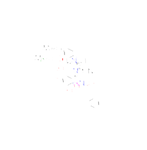 COCOc1c(OC)c(C)cc2c1[C@H]1C3Cc4c(OC(=O)CCCl)c(C)c5c(c4[C@H](CNC(=O)CCc4ccccc4)N3[C@@H](C#N)[C@@H](C2)N1C)OCO5